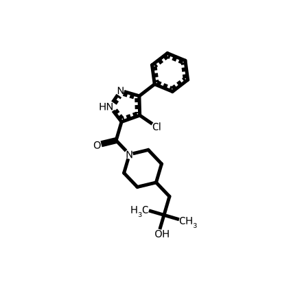 CC(C)(O)CC1CCN(C(=O)c2[nH]nc(-c3ccccc3)c2Cl)CC1